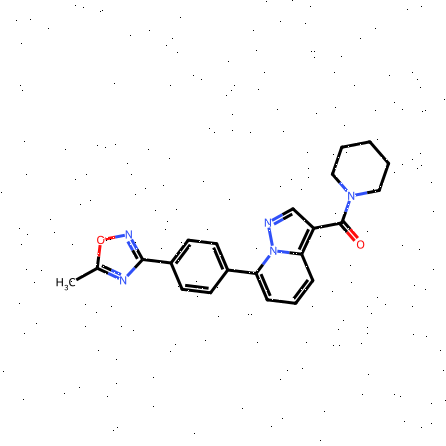 Cc1nc(-c2ccc(-c3cccc4c(C(=O)N5CCCCC5)cnn34)cc2)no1